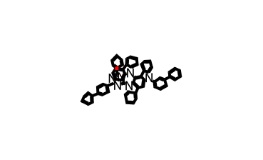 c1ccc(-c2ccc(-c3nc(-c4ccccc4)nc(-n4c5ccccc5c5cc6c(c(-n7c8ccccc8c8ccccc87)c54)c4ccccc4n6-c4cccc(-c5ccccc5)c4)n3)cc2)cc1